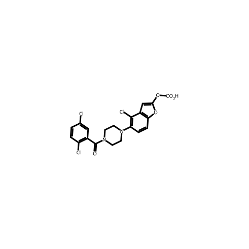 O=C(O)Oc1cc2c(Cl)c(N3CCN(C(=O)c4cc(Cl)ccc4Cl)CC3)ccc2o1